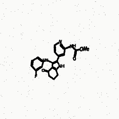 COC(=O)Nc1cc(-c2[nH]c3c(c2Nc2cccc(F)c2)C(=O)CCC3)ccn1